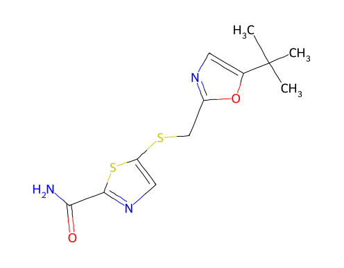 CC(C)(C)c1cnc(CSc2cnc(C(N)=O)s2)o1